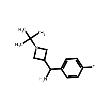 CC(C)(C)N1CC(C(N)c2ccc(F)cc2)C1